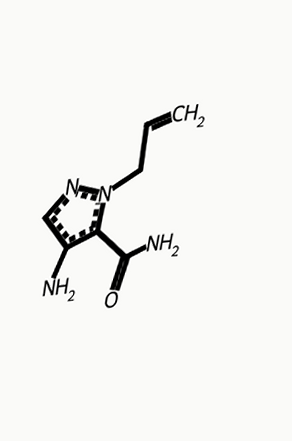 C=CCn1ncc(N)c1C(N)=O